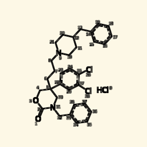 Cl.O=C1OCC(CCCN2CCC(Cc3ccccc3)CC2)(c2ccc(Cl)c(Cl)c2)CN1Cc1ccccc1